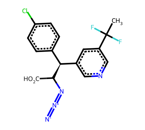 CC(F)(F)c1cncc([C@H](c2ccc(Cl)cc2)C(N=[N+]=[N-])C(=O)O)c1